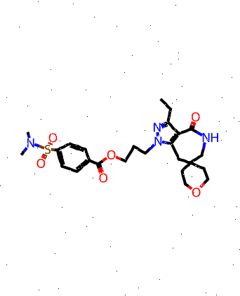 CCc1nn(CCCOC(=O)c2ccc(S(=O)(=O)N(C)C)cc2)c2c1C(=O)NCC1(CCOCC1)C2